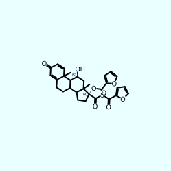 CC12C=CC(=O)C=C1CCC1C2[C@@H](O)CC2(C)C1CC[C@]2(OC(=O)c1ccco1)C(=O)SC(=O)c1ccco1